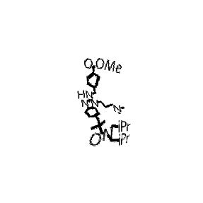 COC(=O)c1ccc(CNc2nc3ccc(C(C)(C)C(=O)N(CC(C)C)CC(C)C)cc3n2CCCN(C)C)cc1